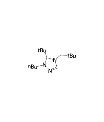 CCCCN1N=CN(CC(C)(C)C)C1C(C)(C)C